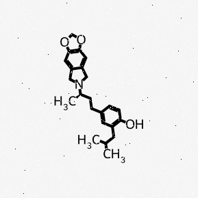 CC(C)Cc1cc(CC[C@@H](C)N2Cc3cc4c(cc3C2)OCO4)ccc1O